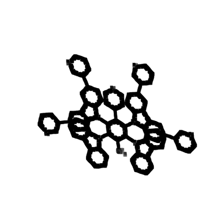 FC(F)(F)c1c(-n2c3ccccc3c3ccccc32)c(-n2c3ccc(-c4cccnc4)cc3c3cc(-c4cccnc4)ccc32)c(-c2ccncc2)c(-n2c3ccc(-c4cccnc4)cc3c3cc(-c4cccnc4)ccc32)c1-n1c2ccccc2c2ccccc21